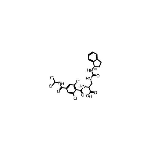 O=C(NCC(NC(=O)c1c(Cl)cc(C(=O)NC(Cl)Cl)cc1Cl)C(=O)O)N[C@@H]1CCc2ccccc21